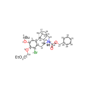 CCCCOc1cc2c(c(Br)c1OCC(=O)OCC)C[C@H]1C3CCCC[C@@]23CCCN1C(=O)OCc1ccccc1